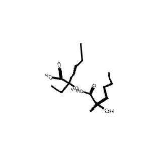 CCCCC(C)(O)C(=O)O.CCCCC(O)(CC)C(=O)O